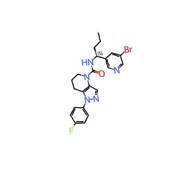 CCC[C@H](NC(=O)N1CCCc2c1cnn2-c1ccc(F)cc1)c1cncc(Br)c1